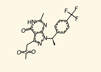 Cc1nc2c(c(CS(C)(=O)=O)nn2[C@H](C)c2ccc(C(F)(F)F)cc2)c(=O)[nH]1